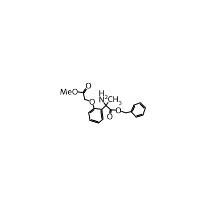 COC(=O)COc1ccccc1C(C)(N)C(=O)OCc1ccccc1